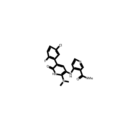 CNC(=O)c1cnccc1Nc1cc(-c2cc(Cl)ccc2F)c(=O)[nH]c1N(C)C